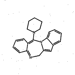 c1ccc2c(c1)=NCc1cc3ccccc3n1C=2N1CCCCC1